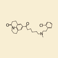 CN(CCCCCC(=O)c1cc2c3c(c1)CCC(=O)N3CCC2)CCc1ccccc1Cl